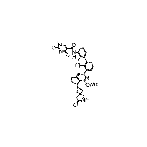 COc1nc(-c2cccc(-c3cccc(NC(=O)c4cn(C)c(=O)n(C)c4=O)c3C)c2Cl)cc2c1C(N1CC3(CNC(=O)C3)C1)CC2